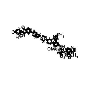 COc1cc(N2CCC(N3CCN(C4CC5(CCN(c6ccc7c(c6)C(=O)N(C6CCC(=O)NC6=O)C7=O)CC5)C4)CC3)CC2)c(-c2cnn(C)c2)cc1Nc1ncc(Cl)c(Nc2ccc3nccnc3c2P(C)(C)=O)n1